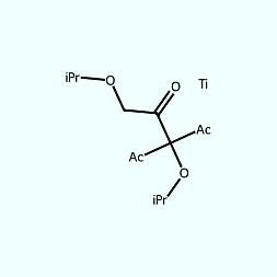 CC(=O)C(OC(C)C)(C(C)=O)C(=O)COC(C)C.[Ti]